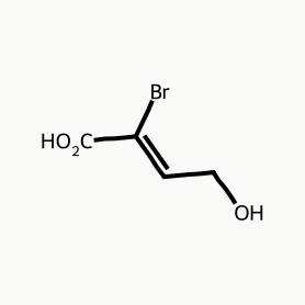 O=C(O)C(Br)=CCO